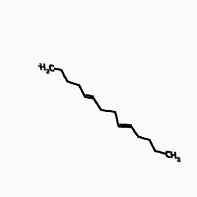 [CH2]CCCC=CCCC=CCCCC